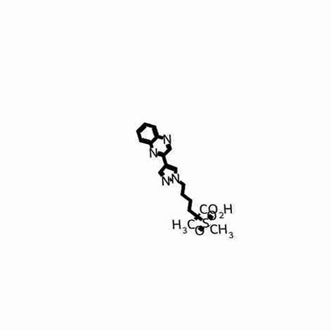 C[C@@](CCCCn1cc(-c2cnc3ccccc3n2)cn1)(C(=O)O)S(C)(=O)=O